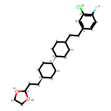 Fc1ccc(CCC2CCC([C@H]3CC[C@H](CCC4OCCO4)CC3)CC2)cc1Cl